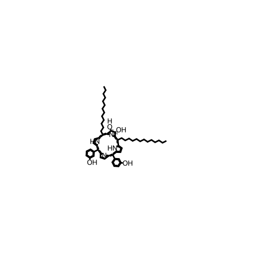 CCCCCCCCCCCCCc1c2nc(c(CCCCCCCCCCCCC)c3ccc([nH]3)c(-c3cccc(O)c3)c3nc(c(-c4cccc(O)c4)c4ccc1[nH]4)C=C3)[C@H](O)[C@@H]2O